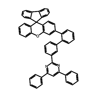 c1ccc(-c2cc(-c3ccccc3)nc(-c3cccc(-c4ccccc4-c4ccc5c(c4)Oc4ccccc4C54c5ccccc5-c5ccccc54)c3)n2)cc1